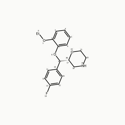 CCOc1ccccc1OC(c1ccc(F)cc1)[C@H]1CNCCO1